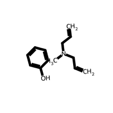 C=CCN(C)CC=C.Oc1ccccc1